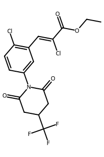 CCOC(=O)C(Cl)=Cc1cc(N2C(=O)CC(C(F)(F)F)CC2=O)ccc1Cl